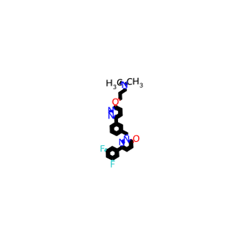 CN(C)CCCOc1ccc(-c2cccc(Cn3nc(-c4cc(F)cc(F)c4)ccc3=O)c2)nn1